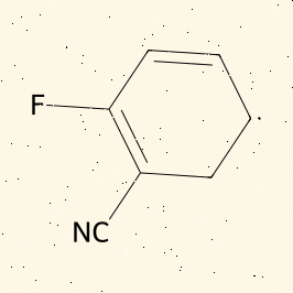 N#CC1=C(F)C=C[CH]C1